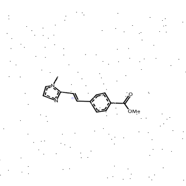 COC(=O)c1ccc(/C=C/c2nccn2C)cc1